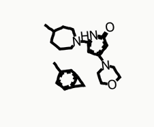 CC1CCCN(c2cc(N3CCOCC3)cc(=O)[nH]2)CC1.Cc1ccc2c(c1)C2